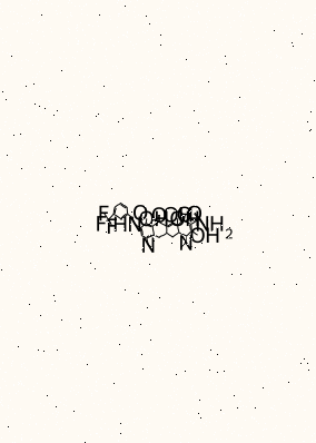 CN(C)c1cc(NC(=O)c2cccc(C(F)(F)F)c2)c(O)c2c1CC1CC3[C@H](N(C)C)C(O)=C(C(N)=O)C(=O)C3(O)C(O)=C1C2=O